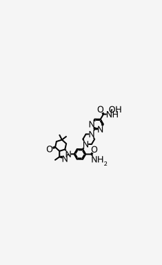 CC1=NN(c2ccc(C(N)=O)c(N3CCN(c4ncc(C(=O)NO)cn4)CC3)c2)C2CC(C)(C)CC(=O)C12